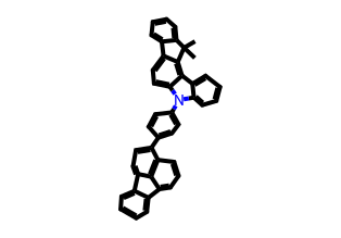 CC1(C)c2ccccc2-c2ccc3c(c21)c1ccccc1n3-c1ccc(-c2ccc3c4c(cccc24)-c2ccccc2-3)cc1